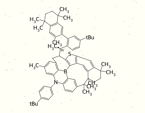 Cc1cc2c3c(c1)N(c1ccc(C(C)(C)C)cc1)c1ccc4cc1B3c1c(sc3cc5c(cc13)C(C)(CCC5(C)C)C4(C)C)C([C@@H](C)c1ccc(C(C)(C)C)cc1-c1cc3c(cc1C)C(C)(C)CCC3(C)C)C2